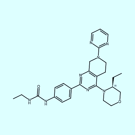 CCNC(=O)Nc1ccc(-c2nc3c(c(N4CCOC[C@@H]4CC)n2)CCN(c2ncccn2)C3)cc1